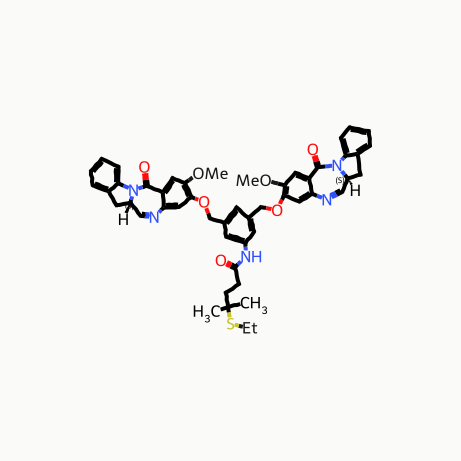 CCSC(C)(C)CCC(=O)Nc1cc(COc2cc3c(cc2OC)C(=O)N2c4ccccc4C[C@H]2C=N3)cc(COc2cc3c(cc2OC)C(=O)N2c4ccccc4C[C@H]2C=N3)c1